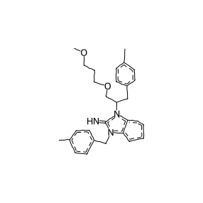 COCCCOCC(Cc1ccc(C)cc1)n1c(=N)n(Cc2ccc(C)cc2)c2ccccc21